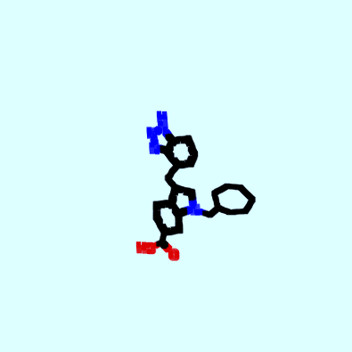 O=C(O)c1ccc2c(Cc3cccc4[nH]nnc34)cn(CC3CCCCCC3)c2c1